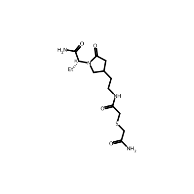 CC[C@H](C(N)=O)N1CC(CCNC(=O)CSCC(N)=O)CC1=O